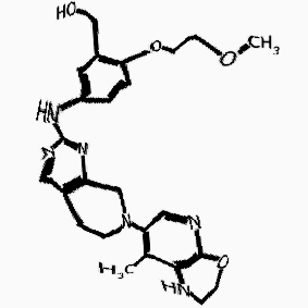 COCCOc1ccc(Nc2ncc3c(n2)CN(c2cnc4c(c2C)NCCO4)CC3)cc1CO